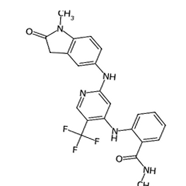 CNC(=O)c1ccccc1Nc1cc(Nc2ccc3c(c2)CC(=O)N3C)ncc1C(F)(F)F